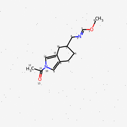 CO/C=N/CC1CCc2cn(C(C)=O)cc2C1